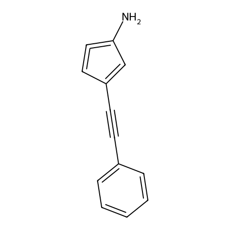 NC1=C=CC(C#Cc2ccccc2)=C1